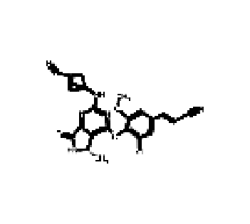 COc1cc(/C=C/C#N)cc(Cl)c1Oc1nc(NC23CC(C#N)(C2)C3)nc2c1[C@H](C)NC2=O